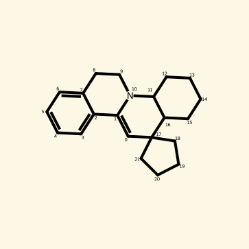 C1=C2c3ccccc3CCN2C2CCCCC2C12CCCC2